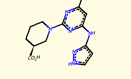 Cc1cc(Nc2cc[nH]n2)nc(N2CCC[C@H](C(=O)O)C2)n1